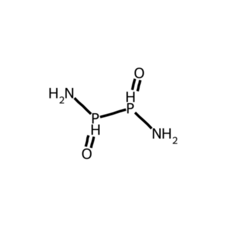 N[PH](=O)[PH](N)=O